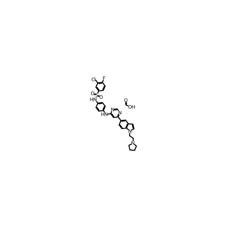 O=CO.O=S(=O)(Nc1ccc(Nc2cc(-c3ccc4c(ccn4CCN4CCCC4)c3)ncn2)cc1)c1ccc(F)c(Cl)c1